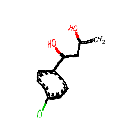 C=C(O)CC(O)c1ccc(Cl)cc1